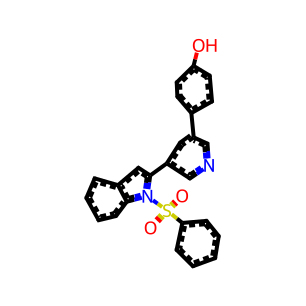 O=S(=O)(c1ccccc1)n1c(-c2cncc(-c3ccc(O)cc3)c2)cc2ccccc21